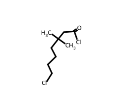 CC(C)(CCCCCl)CC(=O)Cl